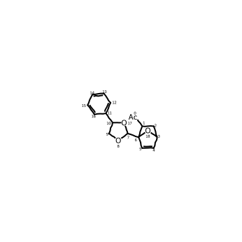 CC(=O)C1CC2C=CC1(C1OCC(c3ccccc3)O1)O2